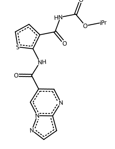 CC(C)OC(=O)NC(=O)c1ccsc1NC(=O)c1cnc2ccnn2c1